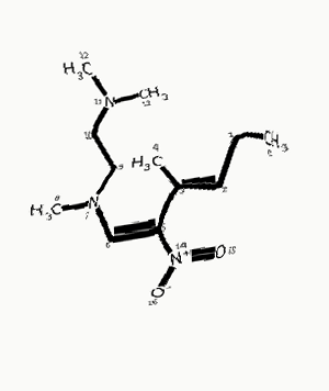 CC/C=C(C)/C(=C\N(C)CCN(C)C)[N+](=O)[O-]